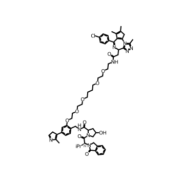 CC1=C(C)C2=C(C1)n1c(C)nnc1C(CC(=O)NCCOCCOCCCCOCCOCCOc1cc(C3=C(C)N=CC3)ccc1CNC(=O)C1CC(O)CN1C(=O)[C@H](C(C)C)N1Cc3ccccc3C1=O)N=C2c1ccc(Cl)cc1